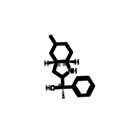 CC1CC[C@@H]2NC([C@](C)(O)c3ccccc3)C[C@@H]2C1